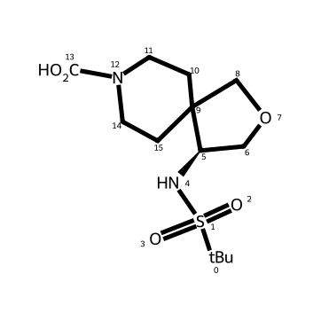 CC(C)(C)S(=O)(=O)N[C@@H]1COCC12CCN(C(=O)O)CC2